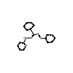 c1ccc(N=NC(=NNc2ccccn2)c2ccccc2)cc1